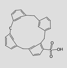 O=S(=O)(O)c1ccc2cc1Cc1cccc(c1)Cc1cccc(c1)Cc1cccc(c1)C2